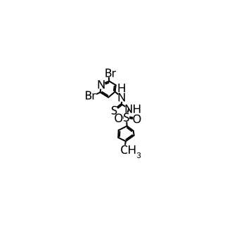 Cc1ccc(S(=O)(=O)NC(=S)Nc2cc(Br)nc(Br)c2)cc1